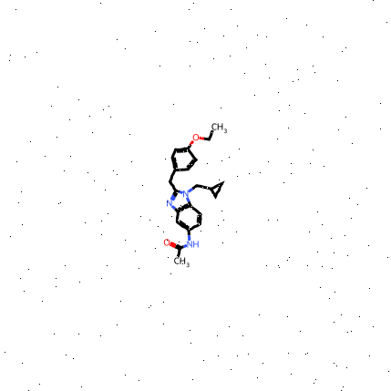 CCOc1ccc(Cc2nc3cc(NC(C)=O)ccc3n2CC2CC2)cc1